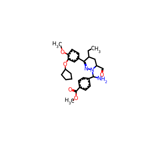 CCC1CC(C=O)N(C(N)c2ccc(C(=O)OC)cc2)N=C1c1ccc(OC)c(OC2CCCC2)c1